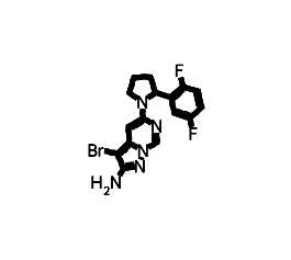 Nc1nn2cnc(N3CCCC3c3cc(F)ccc3F)cc2c1Br